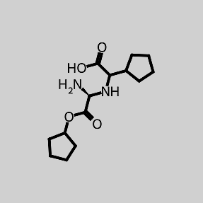 N[C@@H](NC(C(=O)O)C1CCCC1)C(=O)OC1CCCC1